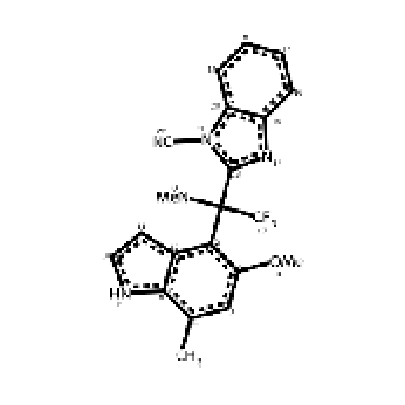 CNC(c1c(OC)cc(C)c2[nH]ccc12)(c1nc2ccccc2n1C#N)C(F)(F)F